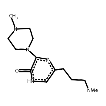 CNCCCc1c[nH]c(=O)c(N2CCN(C)CC2)n1